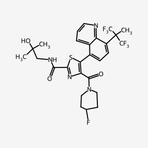 CC(C)(O)CNC(=O)c1nc(C(=O)N2CCC(F)CC2)c(-c2ccc(C(C)(C(F)(F)F)C(F)(F)F)c3ncccc23)s1